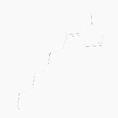 CCCC(CC)CCOC(=O)c1sc2c(Br)sc(Br)c2c1F